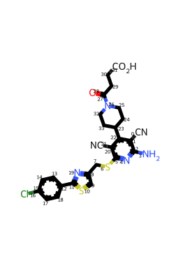 N#Cc1c(N)nc(SCc2csc(-c3ccc(Cl)cc3)n2)c(C#N)c1C1CCN(C(=O)CCC(=O)O)CC1